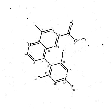 COC(=O)c1cc(C)c2nccc(-c3c(F)cc(F)cc3F)c2c1